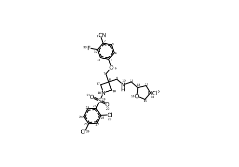 Cl.N#Cc1ccc(OCC2(CNCC3CCCO3)CN(S(=O)(=O)c3ccc(Cl)cc3Cl)C2)cc1F